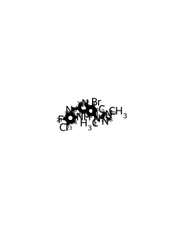 Cc1c(N(C)c2cc(Br)c3ncc(C#N)c(Nc4ccc(F)c(Cl)c4)c3c2)ncn1C